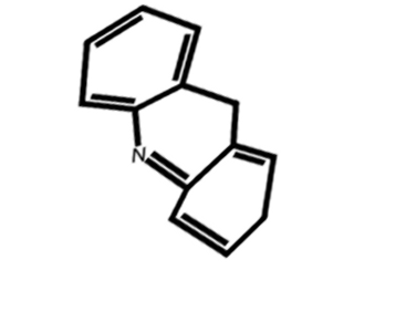 C1=CC2=Nc3ccccc3CC2=CC1